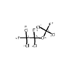 FC(Cl)(Cl)OC(F)(Cl)C(F)(Cl)Cl